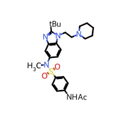 CC(=O)Nc1ccc(S(=O)(=O)N(C)c2ccc3c(c2)nc(C(C)(C)C)n3CCN2CCCCC2)cc1